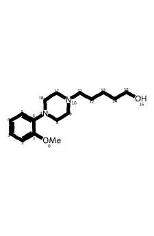 COc1ccccc1N1CCN(CCCCCO)CC1